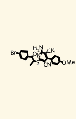 COc1ccc(-c2c(C#N)c(N)nc(SC(C)C(=O)c3ccc(Br)cc3)c2C#N)cc1